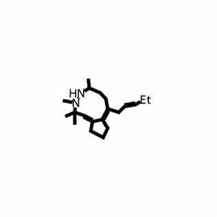 CCC=CC/C1=C2\CCC\C2=C/C(C)(C)N(C)NC(C)CC1